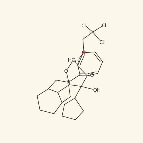 O=C(OOCC(Cl)(Cl)Cl)N1CC2CCCC(C1)C2C(OO)C(O)(c1ccccc1)C1CCCC1